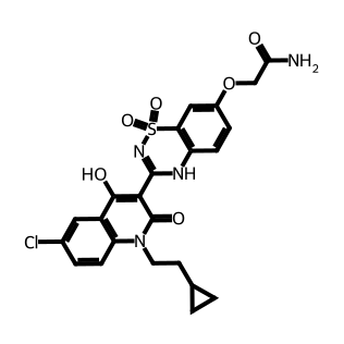 NC(=O)COc1ccc2c(c1)S(=O)(=O)N=C(c1c(O)c3cc(Cl)ccc3n(CCC3CC3)c1=O)N2